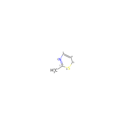 CC1=NC=CCS1